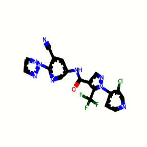 N#Cc1cc(NC(=O)c2cnn(-c3ccncc3Cl)c2C(F)(F)F)cnc1-n1nccn1